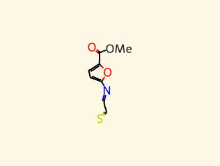 COC(=O)c1ccc(N=CC=S)o1